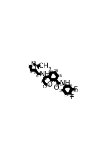 Cn1nccc1CNC1CCOc2c(C(=O)Nc3ccc(F)c(F)c3)cccc21